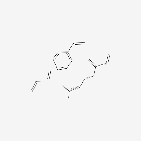 C=CC(=C)CCC=C(C)C.C=CC=C.C=Cc1ccccc1